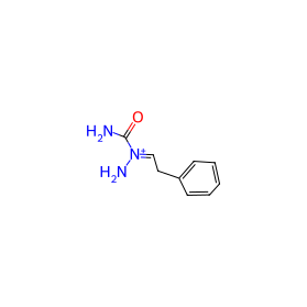 NC(=O)/[N+](N)=C/Cc1ccccc1